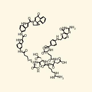 N=C(N)NCCC[C@H](NC(=O)[C@H](CC(=O)O)NC(=O)CC[C@H](NC(=O)c1ccc(NCc2cnc3nc(N)[nH]c(=O)c3n2)cc1)C(=O)O)C(=O)N[C@@H](CC(=O)O)C(=O)N[C@@H](CSSCCC(=O)Nc1ccc2[nH]c(C(=O)Nc3ccc4[nH]c(C(=O)N5CC6CC67C5=CC(=O)c5ccccc57)cc4c3)cc2c1)C(=O)O